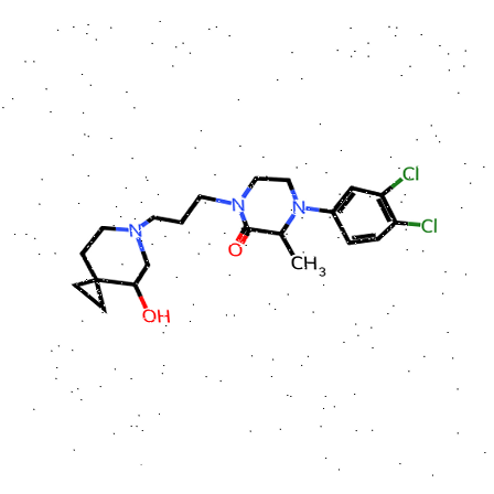 CC1C(=O)N(CCCN2CCC3(CC3)C(O)C2)CCN1c1ccc(Cl)c(Cl)c1